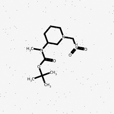 CN(C(=O)OC(C)(C)C)C1CCCN(C[SH](=O)=O)C1